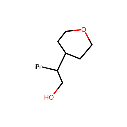 CC(C)C(CO)C1CCOCC1